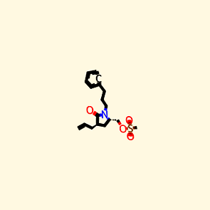 C=CC[C@@H]1C[C@@H](COS(C)(=O)=O)N(CCCc2ccccc2)C1=O